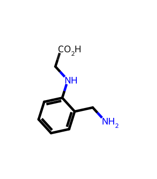 NCc1ccccc1NCC(=O)O